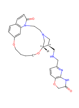 O=C1COc2ccc(CNC[C@@H]3CN4CCn5c(=O)ccc6ccc(cc65)OCCCCO[C@@H]3C4)nc2N1